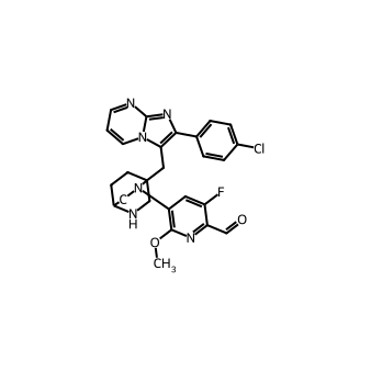 COc1nc(C=O)c(F)cc1N1CC2CCC1(Cc1c(-c3ccc(Cl)cc3)nc3ncccn13)CN2